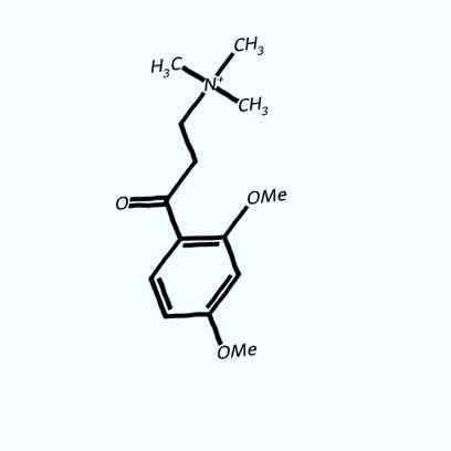 COc1ccc(C(=O)CC[N+](C)(C)C)c(OC)c1